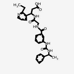 CCc1ncccc1C(CC(=O)O)NC(=O)CNC(=O)c1cccc(NC(=O)NC(C)c2ccccc2)c1